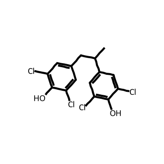 CC(Cc1cc(Cl)c(O)c(Cl)c1)c1cc(Cl)c(O)c(Cl)c1